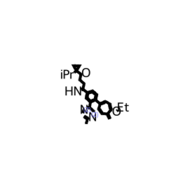 C=C(C)/N=C\C(=N/C)c1cc(C(=N)CCC(=O)C2(C(C)C)CC2)ccc1C1=CC=C(OCC)C(=C)C=C1